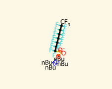 CCCC[N+](CCCC)(CCCC)CCCC.O=S(=O)([O-])C(F)(F)C(F)(F)C(F)(F)C(F)(F)C(F)(F)C(F)(F)C(F)(F)C(F)(F)F